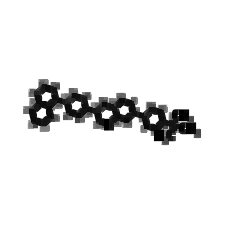 C[Si](C)(C)c1ccc(-c2ccc3cc(-c4ccc(-c5cccc6ccccc56)cc4)cnc3c2)cc1